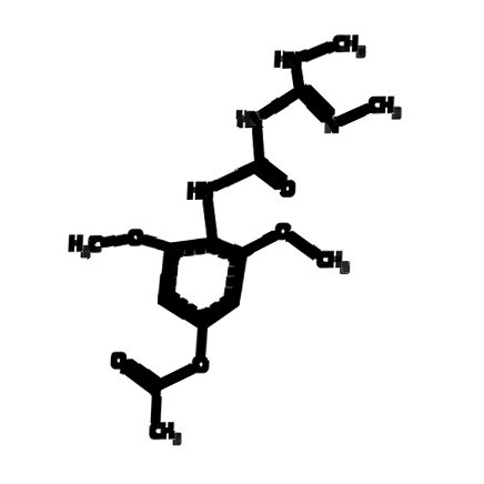 CN=C(NC)NC(=O)Nc1c(OC)cc(OC(C)=O)cc1OC